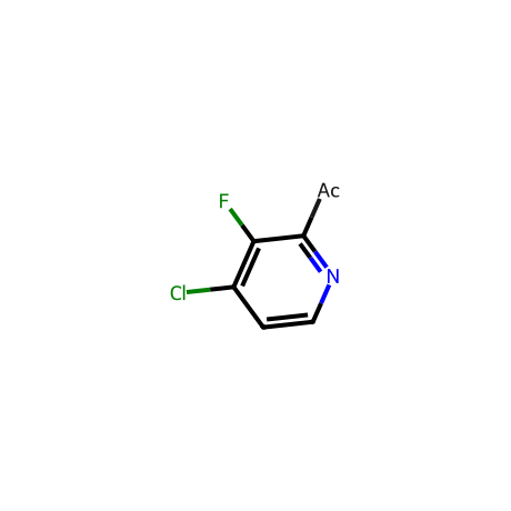 CC(=O)c1nccc(Cl)c1F